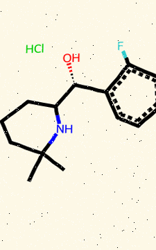 CC1(C)CCCC([C@H](O)c2ccccc2F)N1.Cl